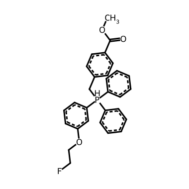 COC(=O)c1ccc(C[PH](c2ccccc2)(c2ccccc2)c2cccc(OCCF)c2)cc1